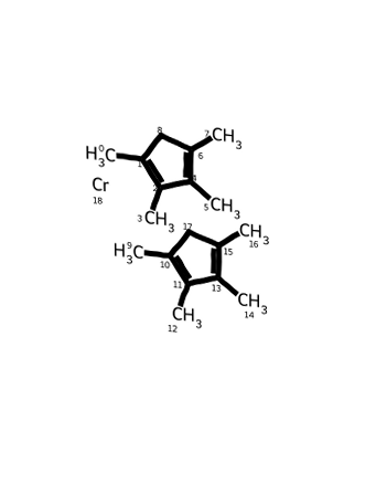 CC1=C(C)C(C)=C(C)C1.CC1=C(C)C(C)=C(C)C1.[Cr]